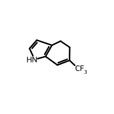 FC(F)(F)C1=Cc2[nH]ccc2CC1